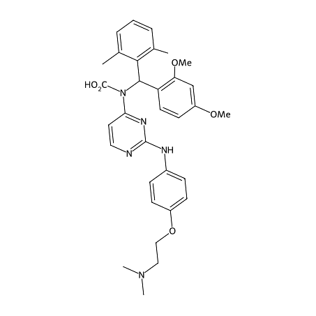 COc1ccc(C(c2c(C)cccc2C)N(C(=O)O)c2ccnc(Nc3ccc(OCCN(C)C)cc3)n2)c(OC)c1